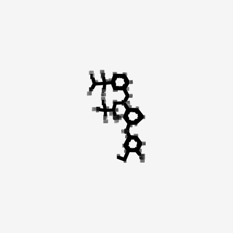 CCc1cc(Oc2cccc(N(Cc3cccc(C(F)(F)C(F)F)c3)C[C@@H](O)C(F)(F)F)c2)ccc1Cl